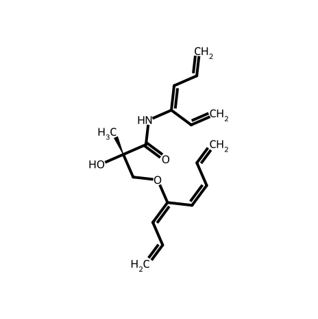 C=C/C=C\C(=C/C=C)OC[C@](C)(O)C(=O)N/C(C=C)=C/C=C